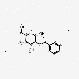 OC[C@H]1O[C@H](O)[C@@H](OCc2ccccc2)[C@H](O)[C@@H]1O